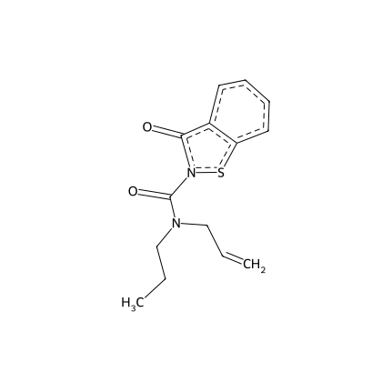 C=CCN(CCC)C(=O)n1sc2ccccc2c1=O